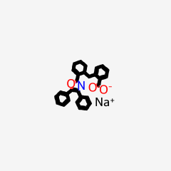 O=C([O-])c1ccccc1CC1CCCC=C1c1nc(-c2ccccc2)c(-c2ccccc2)o1.[Na+]